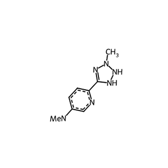 CNc1ccc(C2=NN(C)NN2)nc1